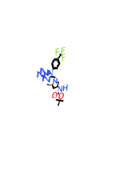 C[C@@H]1C[C@H](NC(=O)OC(C)(C)C)CN1Cc1nnnn1-c1ccc(C(F)(F)F)cc1